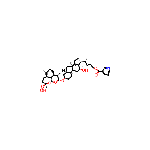 C[C@H]1[C@@H](O[C@@H]2CC[C@]3(C)C4C[C@H](O)[C@]5(C)[C@@H]([C@H](C)CCCOC(=O)c6cccnc6)CC[C@H]5[C@@H]4CC[C@@H]3C2)OC2O[C@](C)(OO)CC[C@@H]3C2[C@H]1CC[C@H]3C